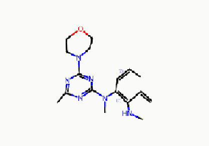 C=C/C(NC)=C(\C=C/C)N(C)c1nc(C)nc(N2CCOCC2)n1